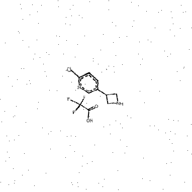 Clc1ccc(C2CNC2)cn1.O=C(O)C(F)(F)F